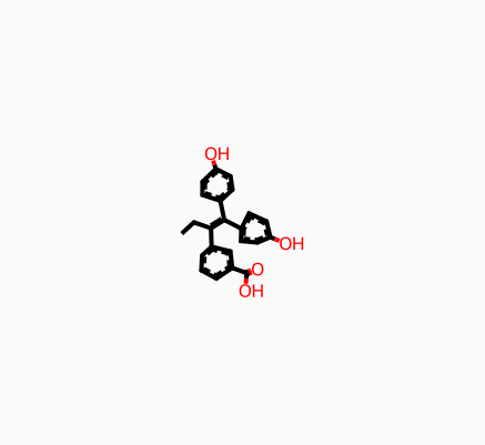 CCC(=C(c1ccc(O)cc1)c1ccc(O)cc1)c1cccc(C(=O)O)c1